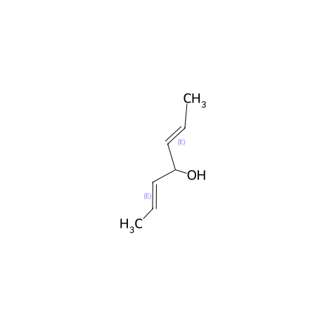 C/C=C/C(O)/C=C/C